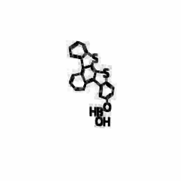 OBOc1ccc2sc3c4sc5ccccc5c4c4ccccc4c3c2c1